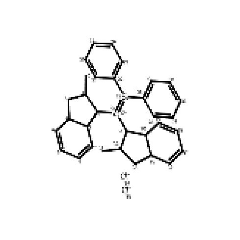 CC1CC2C=CC=CC2[CH]1[Zr+2]([CH]1C(C)CC2C=CC=CC21)=[Si](c1ccccc1)c1ccccc1.[Cl-].[Cl-]